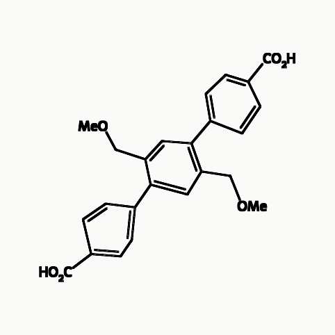 COCc1cc(-c2ccc(C(=O)O)cc2)c(COC)cc1-c1ccc(C(=O)O)cc1